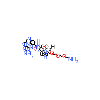 CN(Cc1cnc2nc(N)nc(N)c2n1)c1ccc(C(=O)N[C@H](CC(C(=O)NCCOCCOCCOCCN)C(C)(C)C)C(=O)O)cc1